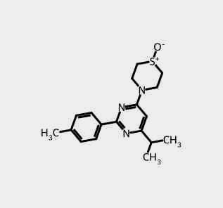 Cc1ccc(-c2nc(C(C)C)cc(N3CC[S+]([O-])CC3)n2)cc1